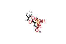 COC(=O)CC(C(=O)OC(C)C(C)C)S(=O)(=O)O